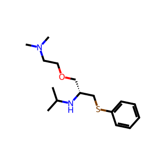 CC(C)N[C@H](COCCN(C)C)CSc1ccccc1